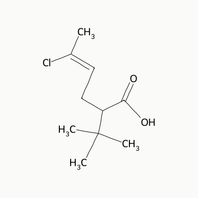 C/C(Cl)=C/CC(C(=O)O)C(C)(C)C